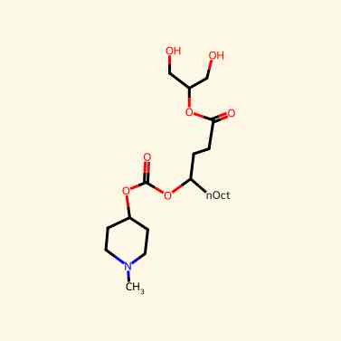 CCCCCCCCC(CCC(=O)OC(CO)CO)OC(=O)OC1CCN(C)CC1